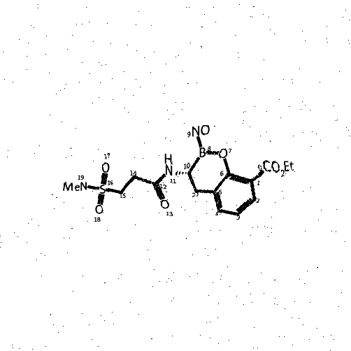 CCOC(=O)c1cccc2c1OB(N=O)[C@@H](NC(=O)CCS(=O)(=O)NC)C2